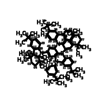 CC(C)(C)c1cccc(N2c3cc(C(C)(C)C)ccc3B3c4cc5c(cc4N(c4ccc(C(C)(C)C)cc4-c4ccccc4)c4cc(N6c7ccc(C(C)(C)C)cc7C7(C)C(C)(C)CCC(C)(C)C67C)cc2c43)C(C)(C)CCC5(C)C)c1